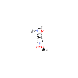 CC1CN(C(C)C)c2cc3c(cc2O1)CCN(C(=O)OC(C)(C)C)CC3